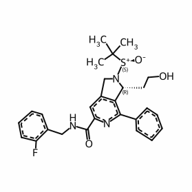 CC(C)(C)[S@@+]([O-])N1Cc2cc(C(=O)NCc3ccccc3F)nc(-c3ccccc3)c2[C@H]1CCO